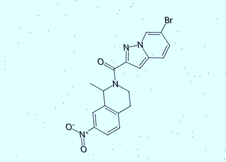 CC1c2cc([N+](=O)[O-])ccc2CCN1C(=O)c1cc2ccc(Br)cn2n1